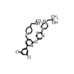 C[C@@H](O)CN1CCN(c2ncc(Oc3cc(CN4CCC(CNC(=O)O)CC4)cc(-c4cc(Cl)cc(Cl)c4)n3)cn2)CC1